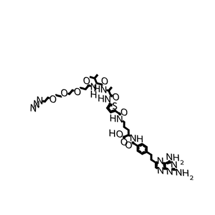 CC(NC(=O)C(NC(=O)CCOCCOCCOCCN=[N+]=[N-])C(C)C)C(=O)Nc1ccc(C(=O)NCCCC(NC(=O)c2ccc(CCc3cnc4nc(N)nc(N)c4n3)cc2)C(=O)O)s1